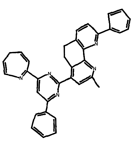 Cc1cc(-c2nc(C3=NC=CCC=C3)cc(-c3ccccc3)n2)c2c(n1)-c1nc(-c3ccccc3)ccc1CC2